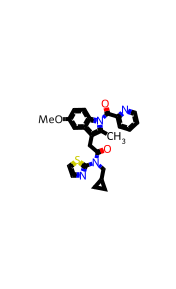 COc1ccc2c(c1)c(CC(=O)N(CC1CC1)c1nccs1)c(C)n2C(=O)c1ccccn1